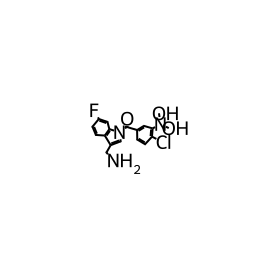 NCc1cn(C(=O)c2ccc(Cl)c(N(O)O)c2)c2cc(F)ccc12